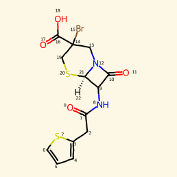 O=C(Cc1cccs1)NC1C(=O)N2CC(Br)(C(=O)O)CS[C@H]12